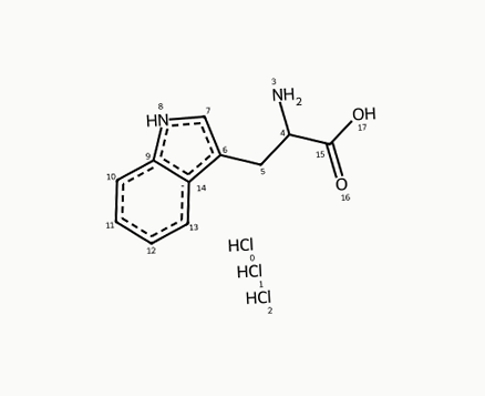 Cl.Cl.Cl.NC(Cc1c[nH]c2ccccc12)C(=O)O